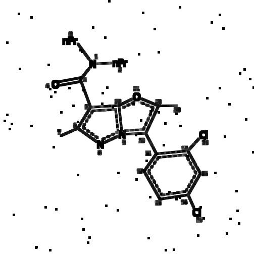 CCCN(CCC)C(=O)c1c(C)nn2c(-c3ccc(Cl)cc3Cl)c(C)oc12